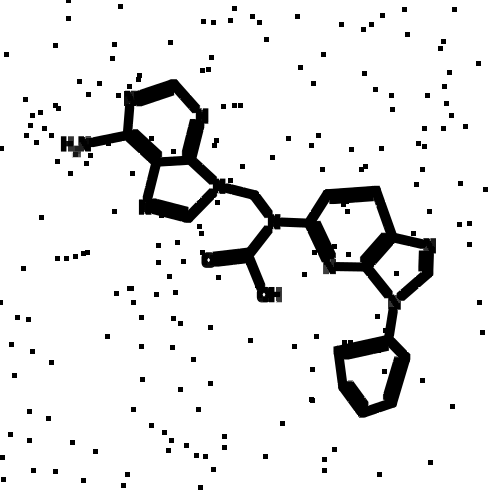 Nc1ncnc2c1ncn2CN(C(=O)O)c1ccc2ncn(-c3ccccc3)c2n1